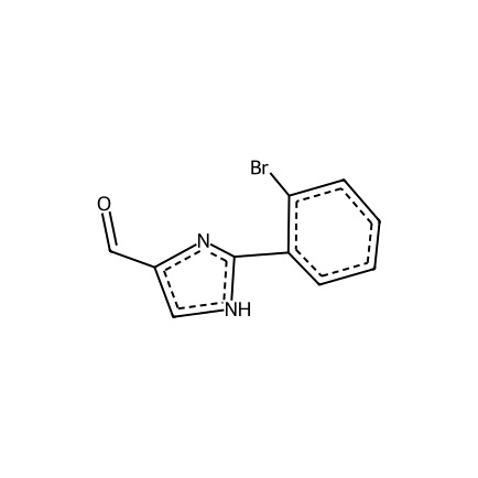 O=Cc1c[nH]c(-c2ccccc2Br)n1